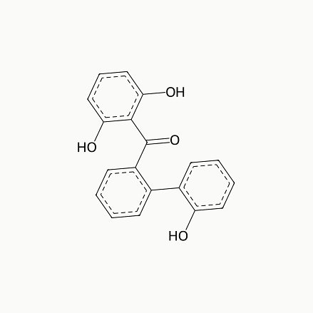 O=C(c1ccccc1-c1ccccc1O)c1c(O)cccc1O